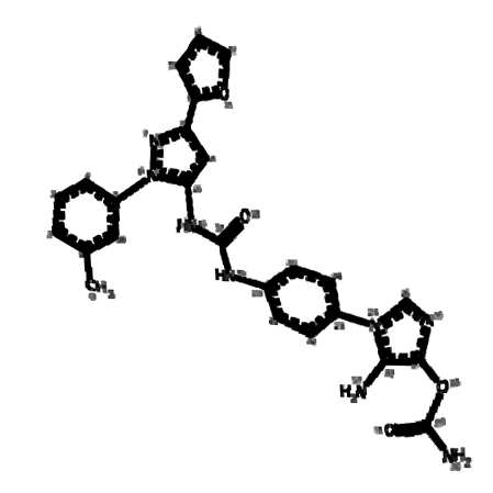 Cc1cccc(-n2nc(-c3ccco3)cc2NC(=O)Nc2ccc(-n3cnc(OC(N)=O)c3N)cc2)c1